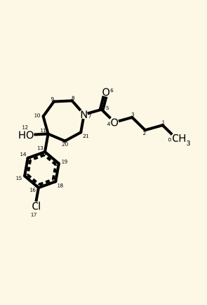 CCCCOC(=O)N1CCCC(O)(c2ccc(Cl)cc2)CC1